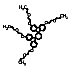 C=CCOCCOc1ccc(C2(c3ccc(OCCOCC=C)cc3)CCCC(c3ccc(OCCOCC=C)cc3)(c3ccc(OCCOCC=C)cc3)C2)cc1